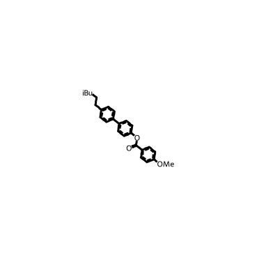 CCC(C)CCc1ccc(-c2ccc(OC(=O)c3ccc(OC)cc3)cc2)cc1